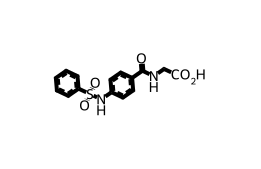 O=C(O)CNC(=O)c1ccc(NS(=O)(=O)c2ccccc2)cc1